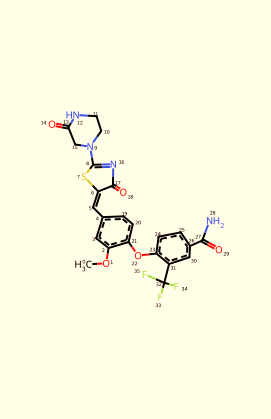 COc1cc(C=C2SC(N3CCNC(=O)C3)=NC2=O)ccc1Oc1ccc(C(N)=O)cc1C(F)(F)F